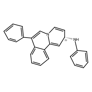 C1=CN2C=C(c3ccccc3)c3ccccc3C2=C[C@H]1Nc1ccccc1